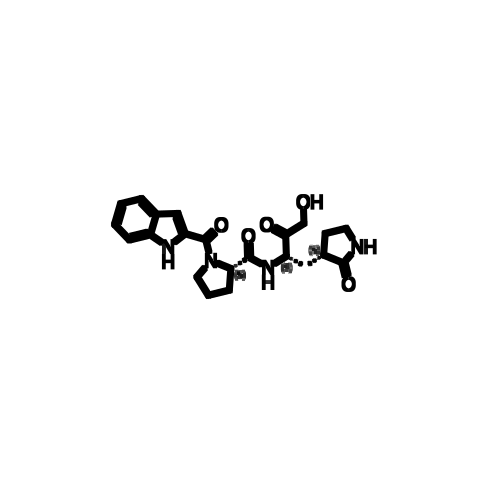 O=C1NCC[C@H]1C[C@H](NC(=O)[C@@H]1CCCN1C(=O)c1cc2ccccc2[nH]1)C(=O)CO